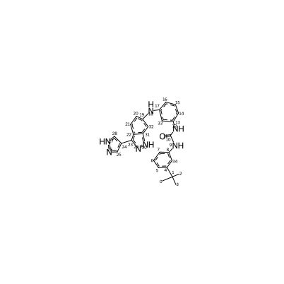 CC(C)(C)c1cccc(NC(=O)Nc2cccc(Nc3ccc4c(-c5cn[nH]c5)n[nH]c4c3)c2)c1